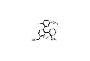 Cc1ccc(F)c(-c2ccc(CO)cc2C2CCCCC2(C)C)c1